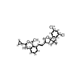 COc1c(/C=C/C2=NOC(c3cc(Cl)cc(Cl)c3)(C(F)(F)F)C2)cccc1NC(=O)C1CC1